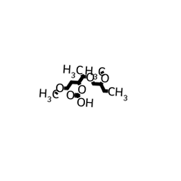 CCC(COC(C)C(CCOC)OC(=O)O)OC